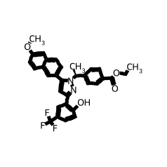 CCOC(=O)c1ccc([C@H](C)n2nc(-c3cc(C(F)(F)F)ccc3O)cc2-c2ccc3cc(OC)ccc3c2)cc1